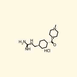 CN1CCN(C(=O)[C@H]2CC[C@H](CNC(=N)N)CC2)CC1.Cl